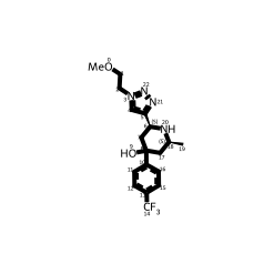 COCCn1cc([C@@H]2CC(O)(c3ccc(C(F)(F)F)cc3)C[C@H](C)N2)nn1